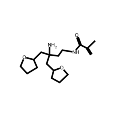 C=C(C)C(=O)NCCC(N)(CC1CCCO1)CC1CCCO1